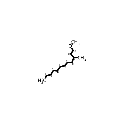 CCCCCCCCCC(C)CCOC